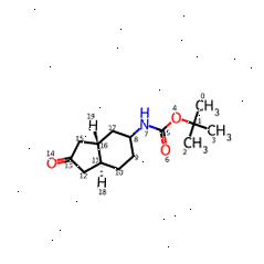 CC(C)(C)OC(=O)NC1CC[C@H]2CC(=O)C[C@@H]2C1